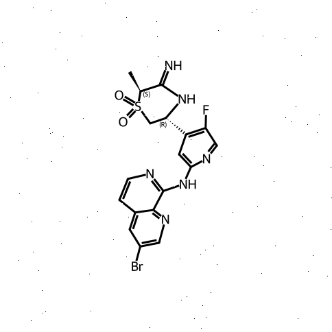 C[C@H]1C(=N)N[C@H](c2cc(Nc3nccc4cc(Br)cnc34)ncc2F)CS1(=O)=O